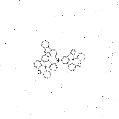 c1ccc2c(c1)Oc1ccccc1C21c2ccccc2-c2cc(N(c3ccc4c(c3)sc3ccccc34)c3cccc4c3-c3ccccc3C43c4ccccc4Oc4ccccc43)ccc21